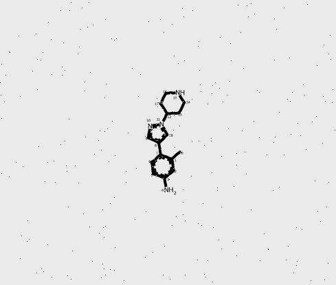 Cc1cc(N)ccc1-c1cnn(C2CCNCC2)c1